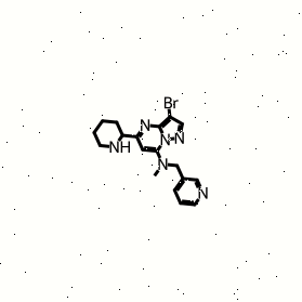 CN(Cc1cccnc1)c1cc(C2CCCCN2)nc2c(Br)cnn12